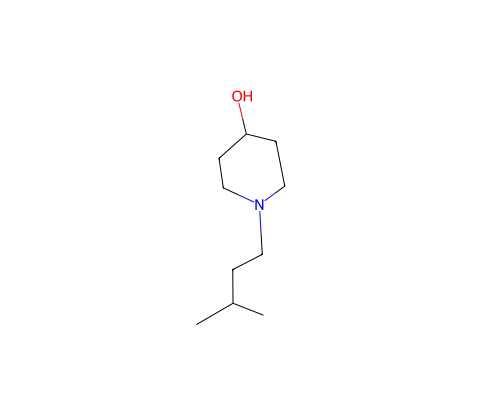 CC(C)CCN1CCC(O)CC1